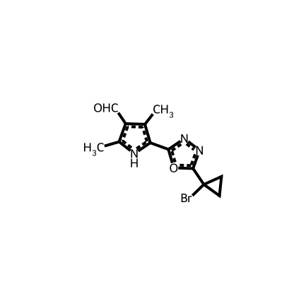 Cc1[nH]c(-c2nnc(C3(Br)CC3)o2)c(C)c1C=O